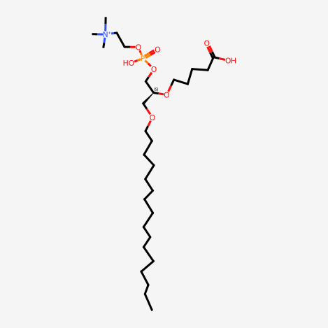 CCCCCCCCCCCCCCCCOC[C@@H](COP(=O)(O)OCC[N+](C)(C)C)OCCCCC(=O)O